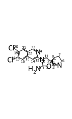 NC1OC2(CN3CCC2CC3)CN1c1cc2cc(Cl)c(Cl)cc2cn1